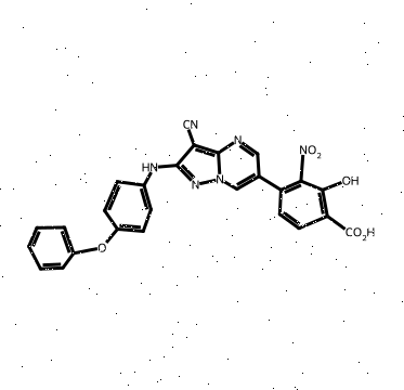 N#Cc1c(Nc2ccc(Oc3ccccc3)cc2)nn2cc(-c3ccc(C(=O)O)c(O)c3[N+](=O)[O-])cnc12